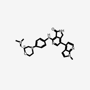 CN(C)C[C@@H]1CN(c2ccc(Nc3ncc(-c4ccnc5c4ccn5C)c4c3C(=O)NC4)cc2)CCO1